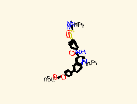 CCCCOCCOc1ccc(-c2ccc3c(c2)C=C(C(=O)Nc2ccc([S+]([O-])Cc4nncn4CCC)cc2)CCN3CCC)cc1